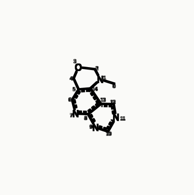 CN1COCc2cnc3ncncc3c21